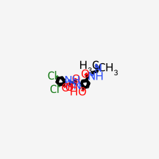 CN(C)CCNC(=O)c1ccc(O)c(NC(=O)C(=O)Nc2cc(Cl)cc(Cl)c2O)c1